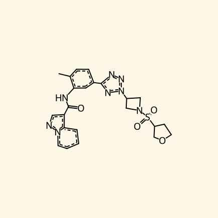 Cc1ccc(-c2nnn(C3CN(S(=O)(=O)C4CCOC4)C3)n2)cc1NC(=O)c1cnn2ccccc12